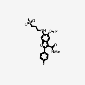 CCCOc1cc2c(C(=O)NC)c(-c3ccc(F)cc3)oc2cc1NCCCS(C)(=O)=O